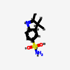 CC1=Nc2ccc(S(N)(=O)=O)cc2C1(C)C